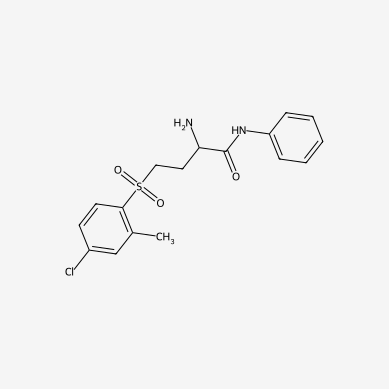 Cc1cc(Cl)ccc1S(=O)(=O)CCC(N)C(=O)Nc1ccccc1